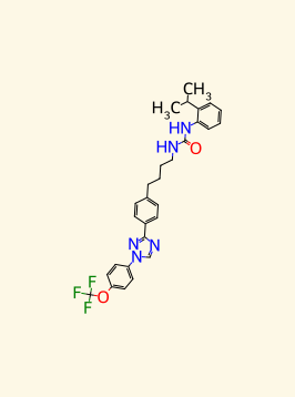 CC(C)c1ccccc1NC(=O)NCCCCc1ccc(-c2ncn(-c3ccc(OC(F)(F)F)cc3)n2)cc1